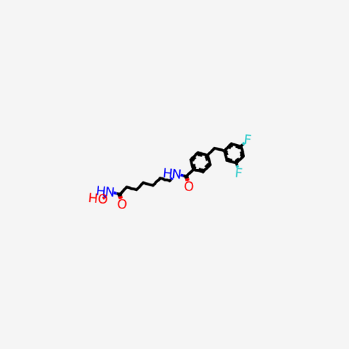 O=C(CCCCCCNC(=O)c1ccc(Cc2cc(F)cc(F)c2)cc1)NO